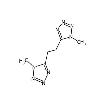 Cn1nnnc1CCc1nnnn1C